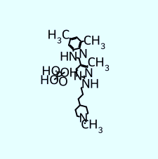 Cc1cc(C)c2nc(-c3cnc(NCCCC4CCN(C)CC4)nc3C)[nH]c2c1.O=P(O)(O)O